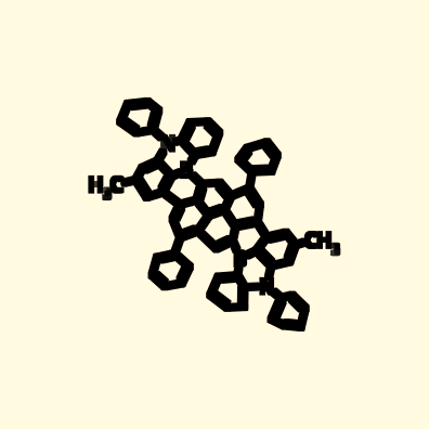 Cc1cc2c3c(c1)N(c1ccccc1)c1ccccc1B3c1cc3c(-c4ccccc4)cc4c5c(cc6c(-c7ccccc7)cc-2c1c6c35)B1c2ccccc2N(c2ccccc2)c2cc(C)cc-4c21